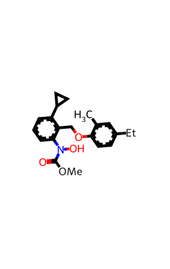 CCc1ccc(OCc2c(C3CC3)cccc2N(O)C(=O)OC)c(C)c1